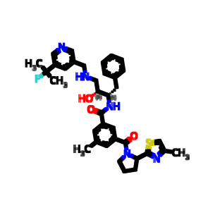 Cc1cc(C(=O)N[C@@H](Cc2ccccc2)[C@H](O)CNCc2cncc(C(C)(C)F)c2)cc(C(=O)N2CCCC2c2nc(C)cs2)c1